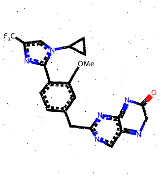 COc1cc(Cc2ncc3c(n2)=NC(=O)CN=3)ccc1-c1nc(C(F)(F)F)cn1C1CC1